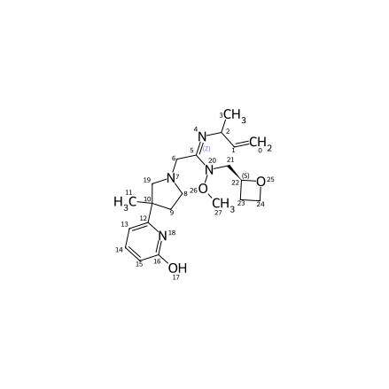 C=CC(C)/N=C(/CN1CCC(C)(c2cccc(O)n2)C1)N(C[C@@H]1CCO1)OC